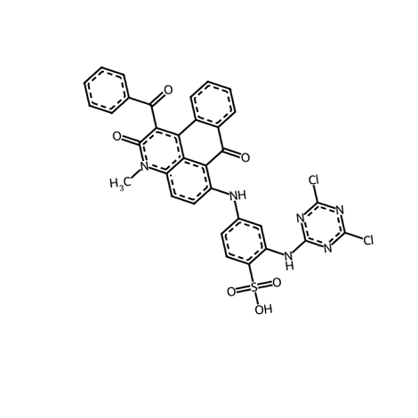 Cn1c(=O)c(C(=O)c2ccccc2)c2c3c(c(Nc4ccc(S(=O)(=O)O)c(Nc5nc(Cl)nc(Cl)n5)c4)ccc31)C(=O)c1ccccc1-2